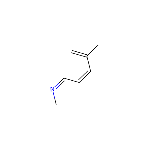 C=C(C)/C=C\C=N/C